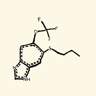 CCCSc1cc2[nH]cnc2cc1OC(F)(F)F